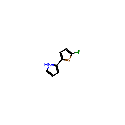 Fc1ccc(-c2ccc[nH]2)s1